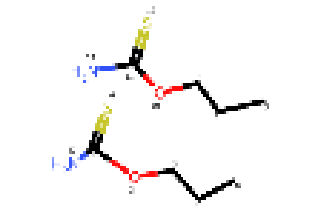 CCCOC(N)=S.CCCOC(N)=S